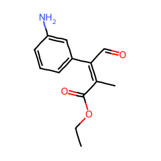 CCOC(=O)C(C)=C(C=O)c1cccc(N)c1